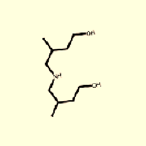 CC(CCO)CNCC(C)CCO